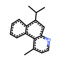 Cc1ccnc2cc(C(C)C)c3ccccc3c12